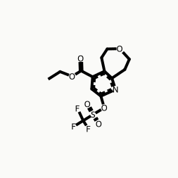 CCOC(=O)c1cc(OS(=O)(=O)C(F)(F)F)nc2c1CCOCC2